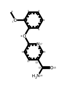 COc1ccccc1Oc1ccc(C(N)=O)cn1